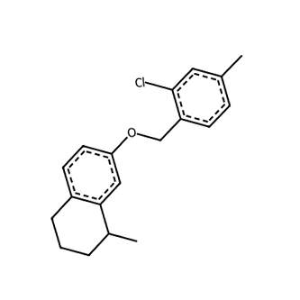 Cc1ccc(COc2ccc3c(c2)C(C)CCC3)c(Cl)c1